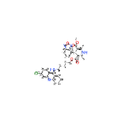 COC(=O)C1=C(C)NC(C)=C(C(=O)OCCCCCNc2c3c(nc4cc(Cl)ccc24)CCCC3)C1c1cccc2nonc12